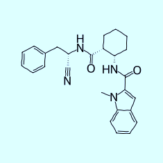 Cn1c(C(=O)N[C@H]2CCCC[C@H]2C(=O)N[C@H](C#N)Cc2ccccc2)cc2ccccc21